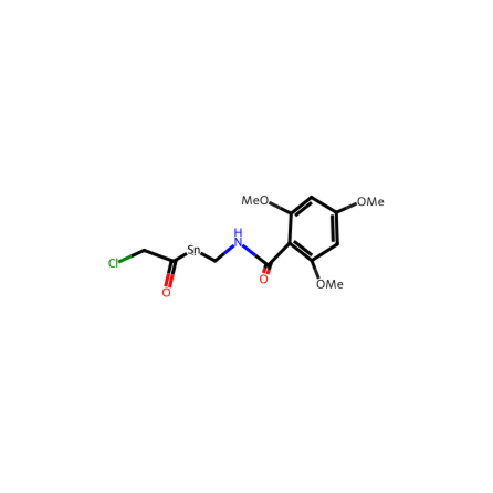 COc1cc(OC)c(C(=O)N[CH2][Sn][C](=O)CCl)c(OC)c1